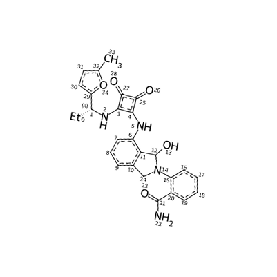 CC[C@@H](Nc1c(Nc2cccc3c2C(O)N(c2ccccc2C(N)=O)C3)c(=O)c1=O)c1ccc(C)o1